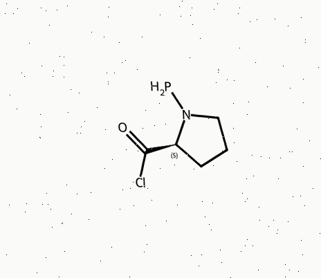 O=C(Cl)[C@@H]1CCCN1P